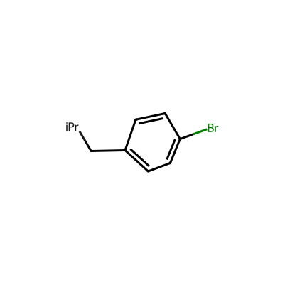 [CH2]C(C)Cc1ccc(Br)cc1